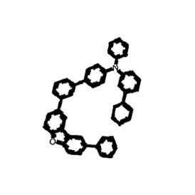 C1=CCCC(c2cccc(N(c3ccccc3)c3ccc(-c4cccc(-c5ccc6oc7ccc(-c8ccccc8)cc7c6c5)c4)cc3)c2)=C1